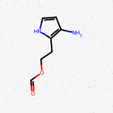 Nc1cc[nH]c1CCOC=O